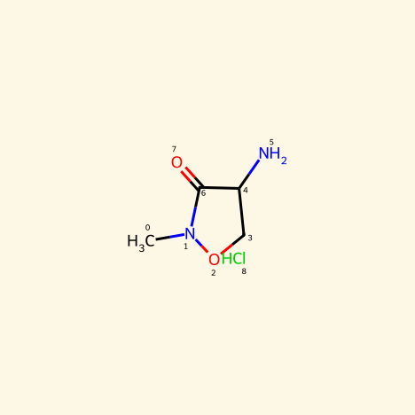 CN1OCC(N)C1=O.Cl